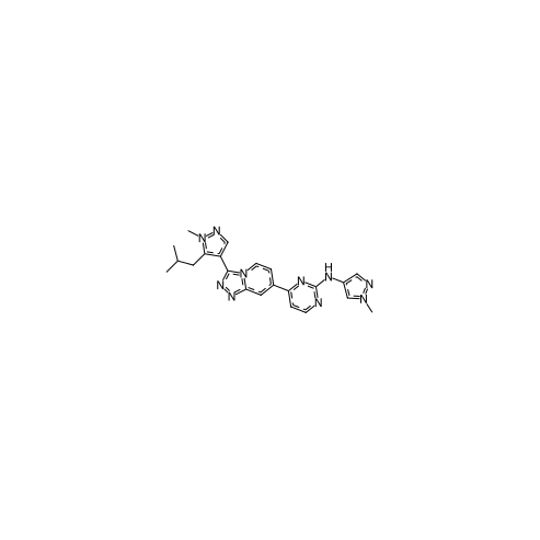 CC(C)Cc1c(-c2nnc3cc(-c4ccnc(Nc5cnn(C)c5)n4)ccn23)cnn1C